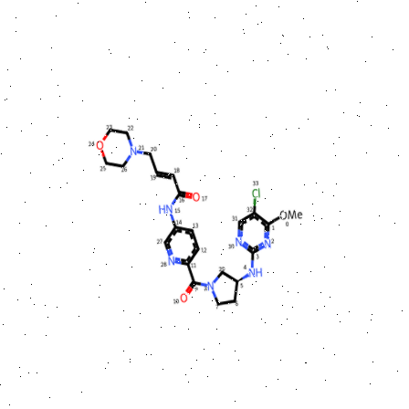 COc1nc(N[C@H]2CCN(C(=O)c3ccc(NC(=O)/C=C/CN4CCOCC4)cn3)C2)ncc1Cl